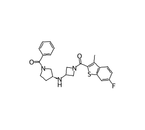 Cc1c(C(=O)N2CC(N[C@H]3CCN(C(=O)c4ccccc4)C3)C2)sc2cc(F)ccc12